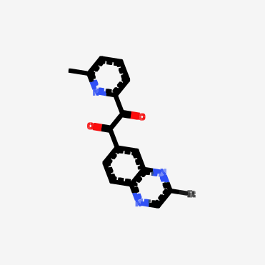 [CH2]Cc1cnc2ccc(C(=O)C(=O)c3cccc(C)n3)cc2n1